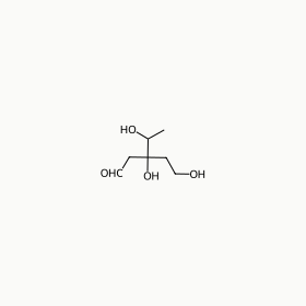 CC(O)C(O)(CC=O)CCO